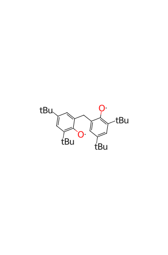 CC(C)(C)c1cc(Cc2cc(C(C)(C)C)cc(C(C)(C)C)c2[O])c([O])c(C(C)(C)C)c1